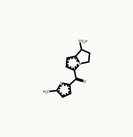 Cc1ccc(C(=O)c2ccc3n2CCC3C(=O)O)s1